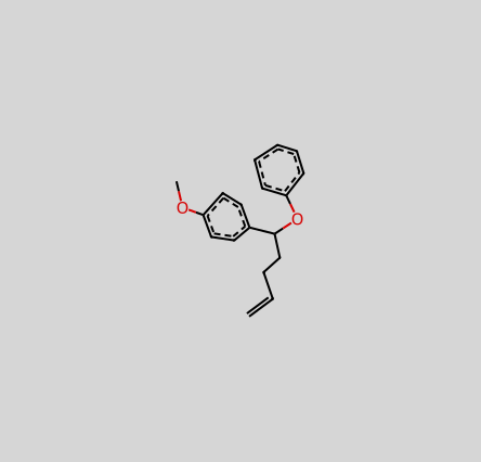 C=CCCC(Oc1ccccc1)c1ccc(OC)cc1